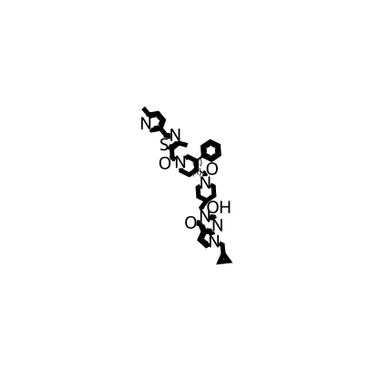 Cc1ccc(-c2nc(C)c(C(=O)N3CC[C@@H](C(=O)N4CCC(O)(Cn5cnc6c(ccn6CC6CC6)c5=O)CC4)[C@H](c4ccccc4)C3)s2)cn1